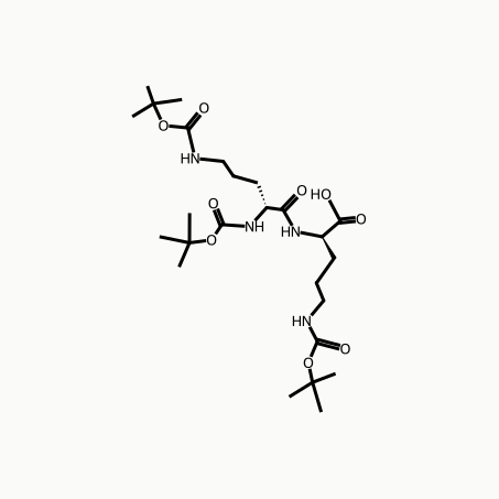 CC(C)(C)OC(=O)NCCC[C@@H](NC(=O)[C@@H](CCCNC(=O)OC(C)(C)C)NC(=O)OC(C)(C)C)C(=O)O